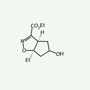 CCOC(=O)C1=NO[C@]2(CC)CC(O)C[C@H]12